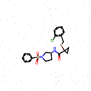 O=C(N[C@H]1CCN(S(=O)(=O)c2ccccc2)C1)C1(SCc2ccccc2Cl)CC1